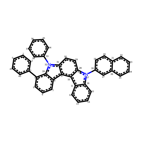 c1ccc(-c2cccc3c4c5c6ccccc6n(-c6ccc7ccccc7c6)c5ccc4n(-c4ccccc4)c23)cc1